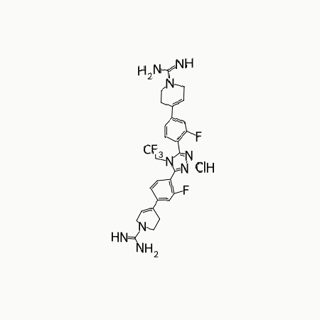 Cl.N=C(N)N1CC=C(c2ccc(-c3nnc(-c4ccc(C5=CCN(C(=N)N)CC5)cc4F)n3CC(F)(F)F)c(F)c2)CC1